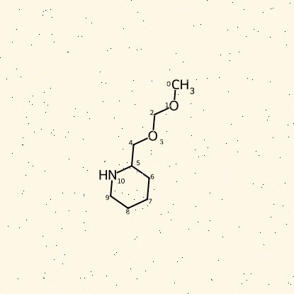 COCOCC1CCCCN1